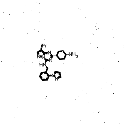 CC(C)c1cnn2c(NCc3ccccc3-n3cccn3)nc([C@H]3CC[C@@H](N)CC3)nc12